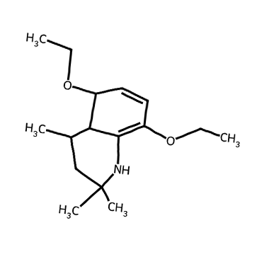 CCOC1=C2NC(C)(C)CC(C)C2C(OCC)C=C1